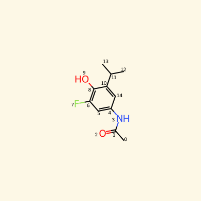 CC(=O)Nc1cc(F)c(O)c(C(C)C)c1